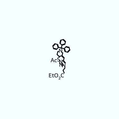 CCOC(=O)CCCn1cc(C=C2CN(C(c3ccccc3)(c3ccccc3)c3ccccc3)CCC2SC(C)=O)nn1